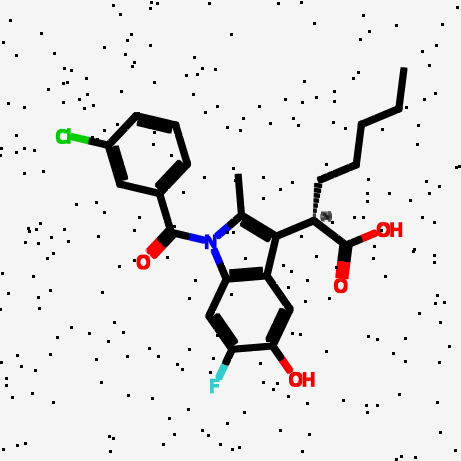 CCCCC[C@H](C(=O)O)c1c(C)n(C(=O)c2cccc(Cl)c2)c2cc(F)c(O)cc12